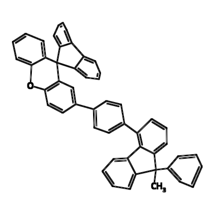 CC1(c2ccccc2)c2ccccc2-c2c(-c3ccc(-c4ccc5c(c4)C4(c6ccccc6O5)c5ccccc5-c5ccccc54)cc3)cccc21